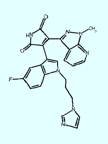 Cn1nc(C2=C(c3cn(CCCn4ccnc4)c4ccc(F)cc34)C(=O)NC2=O)c2cccnc21